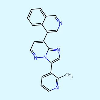 FC(F)(F)c1ncccc1-c1cnc2c(-c3cncc4ccccc34)ccnn12